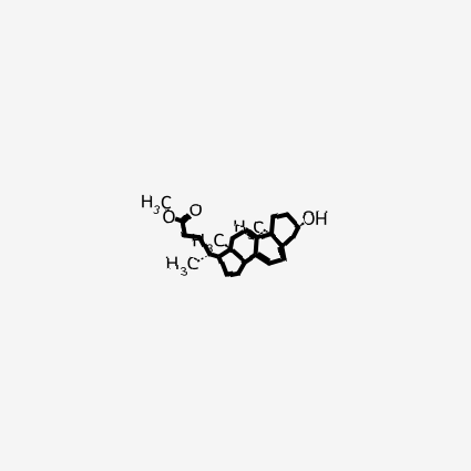 COC(=O)CC[C@@H](C)C1CCC2C3=CC=C4C[C@@H](O)CC[C@]4(C)C3=CC[C@@]21C